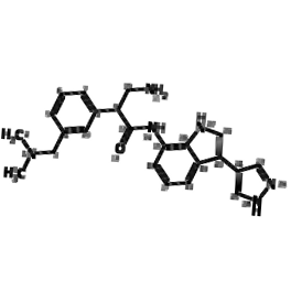 CN(C)Cc1cccc(C(CN)C(=O)Nc2cccc3c(-c4cn[nH]c4)c[nH]c23)c1